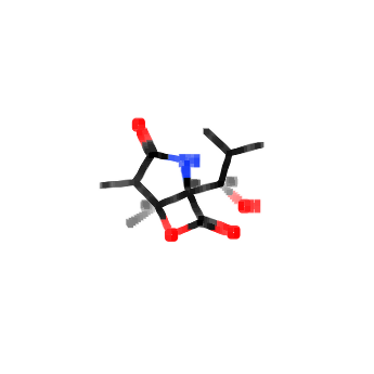 CC(C)[C@H](O)[C@@]12NC(=O)C(C)[C@]1(C)OC2=O